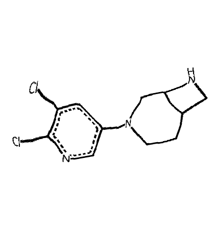 Clc1cc(N2CCC3CNC3C2)cnc1Cl